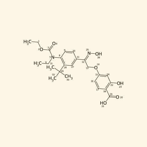 CCOC(=O)N(CC)c1ccc(/C(COc2ccc(C(=O)O)c(O)c2)=N/O)cc1C(C)(C)C